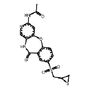 CC(=O)Nc1cc2c(cn1)NC(=O)c1cc(S(=O)(=O)CC3CS3)ccc1O2